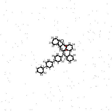 c1ccc(-c2ccc(-c3ccc(N(c4ccc5oc6ccccc6c5n4)c4ccccc4-c4ccccc4)cc3)cc2)cc1